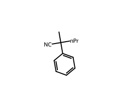 CCCC(C)(C#N)c1ccccc1